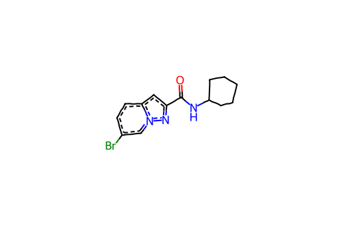 O=C(NC1CCCCC1)c1cc2ccc(Br)cn2n1